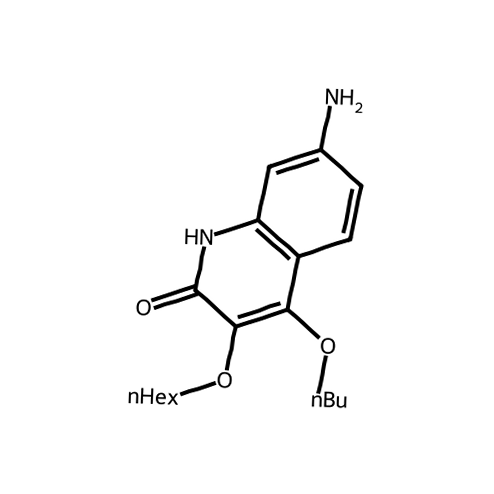 CCCCCCOc1c(OCCCC)c2ccc(N)cc2[nH]c1=O